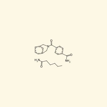 CCCCCC(N)=O.NC(=O)c1ccc(C(=O)N2Cc3cccc(c3)C2)cc1